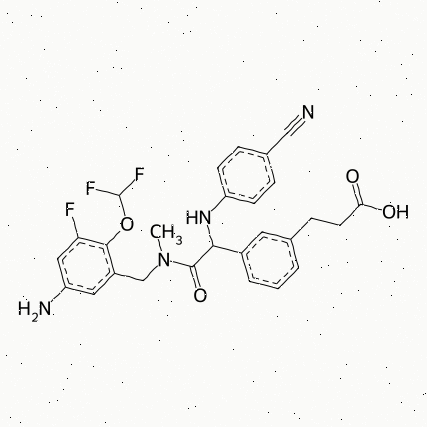 CN(Cc1cc(N)cc(F)c1OC(F)F)C(=O)C(Nc1ccc(C#N)cc1)c1cccc(CCC(=O)O)c1